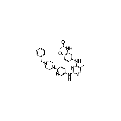 Cc1cnc(Nc2ccc(N3CCN(Cc4ccccc4)CC3)nc2)nc1Nc1ccc2c(c1)NC(=O)CO2